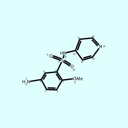 COc1ccc(N)cc1S(=O)(=O)Nc1ccncc1